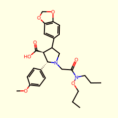 CCCON(CCC)C(=O)CN1CC(c2ccc3c(c2)OCO3)[C@H](C(=O)O)[C@H]1c1ccc(OC)cc1